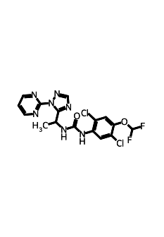 CC(NC(=O)Nc1cc(Cl)c(OC(F)F)cc1Cl)c1ncnn1-c1ncccn1